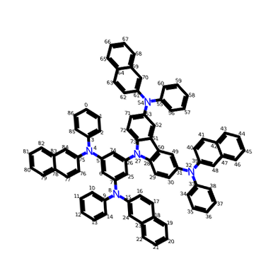 c1ccc(N(c2cc(N(c3ccccc3)c3ccc4ccccc4c3)cc(-n3c4ccc(N(c5ccccc5)c5ccc6ccccc6c5)cc4c4cc(N(c5ccccc5)c5ccc6ccccc6c5)ccc43)c2)c2ccc3ccccc3c2)cc1